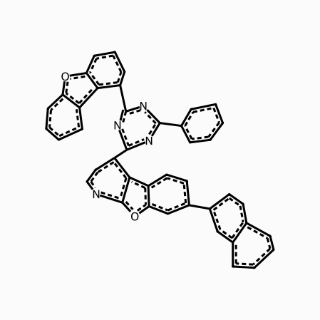 c1ccc(-c2nc(-c3cccc4oc5ccccc5c34)nc(-c3ccnc4oc5cc(-c6ccc7ccccc7c6)ccc5c34)n2)cc1